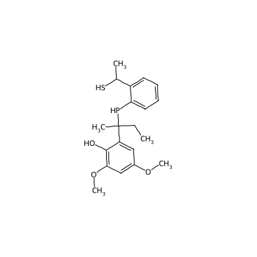 CCC(C)(Pc1ccccc1C(C)S)c1cc(OC)cc(OC)c1O